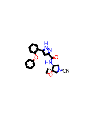 N#CN1C[C@@H](NC(=O)c2cc(-c3ccccc3Oc3ccccc3)[nH]n2)[C@@]2(CCO2)C1